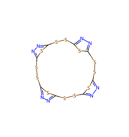 n1nc2sc1SSc1nnc(s1)SSc1nnc(s1)SSc1nnc(s1)SS2